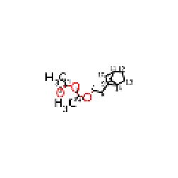 CC(=O)OC(C)OCCC1CC2CCC1C2